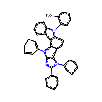 FC(F)(F)c1ccccc1-n1c2ccccc2c2c3c(ccc21)c1c(nc(-c2ccccc2)n1-c1ccccc1)n3C1=CCCC=C1